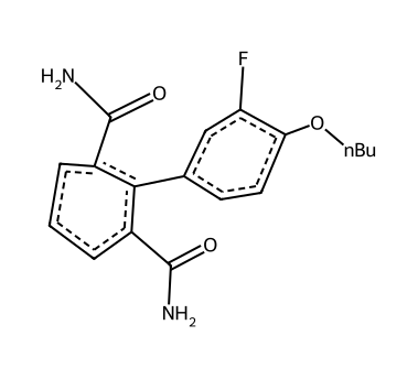 CCCCOc1ccc(-c2c(C(N)=O)cccc2C(N)=O)cc1F